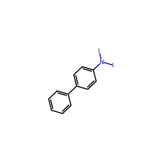 IN(I)c1ccc(-c2ccccc2)cc1